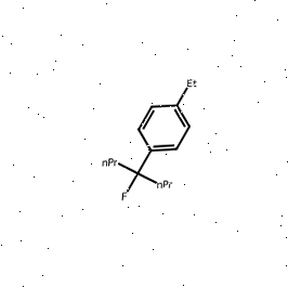 CCCC(F)(CCC)c1ccc(CC)cc1